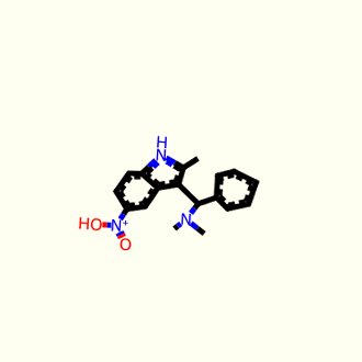 Cc1[nH]c2ccc([N+](=O)O)cc2c1C(c1ccccc1)N(C)C